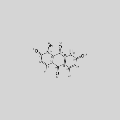 CCCn1c2c(c(C)cc1=O)C(=O)c1c(C)cc(=O)[nH]c1C2=O